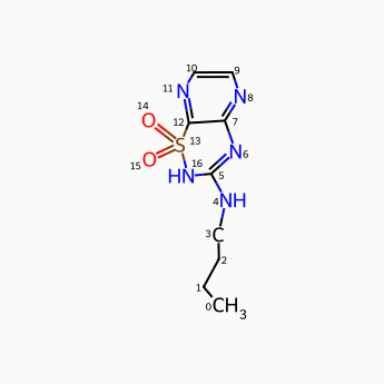 CCCCNC1=Nc2nccnc2S(=O)(=O)N1